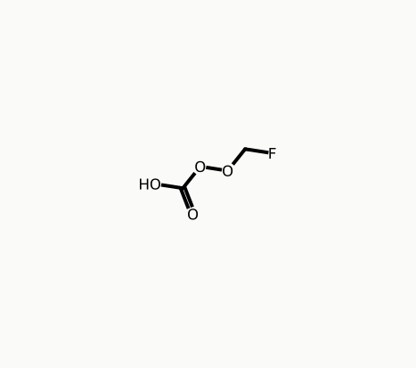 O=C(O)OOCF